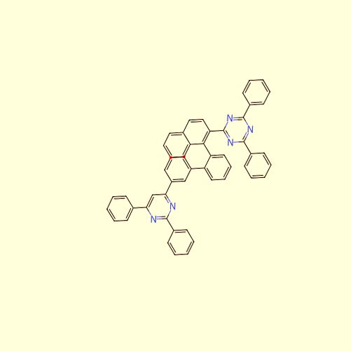 c1ccc(-c2cc(-c3cccc(-c4ccccc4-c4c(-c5nc(-c6ccccc6)nc(-c6ccccc6)n5)ccc5ccccc45)c3)nc(-c3ccccc3)n2)cc1